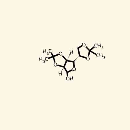 CC1(C)OC[C@@H](C2OC(O)[C@H]3OC(C)(C)O[C@@H]23)O1